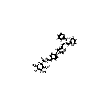 O=C(NCCc1ccc(-n2cc(CN(Cc3ccccn3)Cc3ccccn3)nn2)cc1)[C@H]1O[C@H](O)[C@H](O)[C@@H](O)[C@H]1O